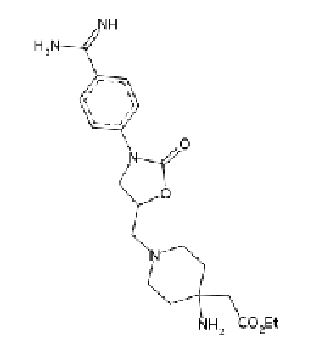 CCOC(=O)CC1(N)CCN(CC2CN(c3ccc(C(=N)N)cc3)C(=O)O2)CC1